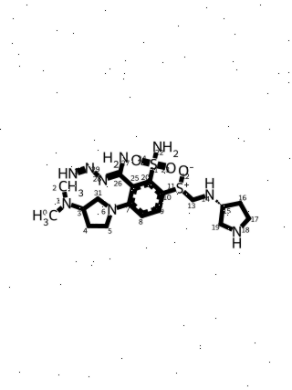 CN(C)C1CCN(c2ccc([S+]([O-])CN[C@@H]3CCNC3)c(S(N)(=O)=O)c2/C(N)=N/N=N)C1